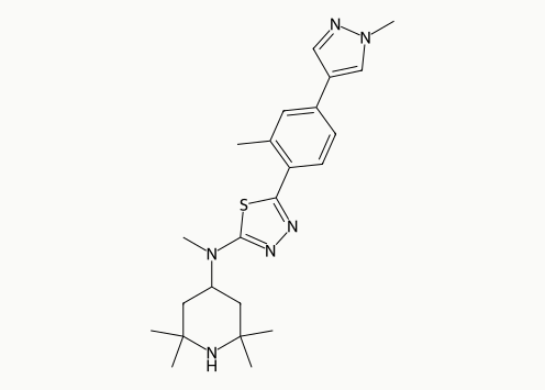 Cc1cc(-c2cnn(C)c2)ccc1-c1nnc(N(C)C2CC(C)(C)NC(C)(C)C2)s1